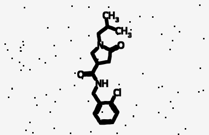 CC(C)CN1CC(C(=O)NCc2ccccc2Cl)CC1=O